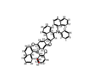 c1ccc(N(c2cccc3ccccc23)c2cc3oc4c5c6c(cc4c3c3ccccc23)Oc2ccc3ccccc3c2B6c2c(ccc3ccccc23)O5)cc1